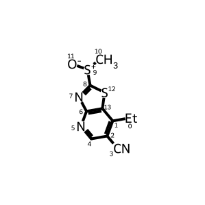 CCc1c(C#N)cnc2nc([S+](C)[O-])sc12